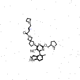 Cc1ccc2[nH]ncc2c1-c1nc(OCC2CCCN2C)nc(N2CCC3(CN(C(=O)/C=C/CN4CCC4)C3)C2)c1C#N